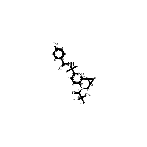 CC(C)(NC(=O)c1ccc(F)cc1)c1ccc2c(n1)C1CC1CN2C(=O)C(F)(F)F